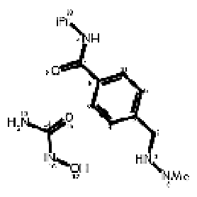 CNNCc1ccc(C(=O)NC(C)C)cc1.NC(=O)NO